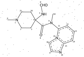 CN1CCC(NC=O)(C(=O)N(C)c2cccc3nccn23)CC1